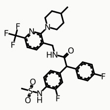 CC1CCN(c2nc(C(F)(F)F)ccc2CNC(=O)C(c2ccc(F)cc2)c2ccc(NS(C)(=O)=O)c(F)c2)CC1